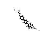 CCCCC[C@H]1CC[C@H](c2ccc(-c3cc(F)c(COC)c(F)c3)cc2)CC1